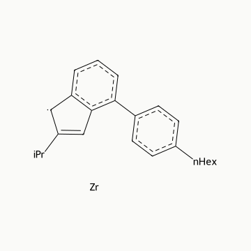 CCCCCCc1ccc(-c2cccc3c2C=C(C(C)C)[CH]3)cc1.[Zr]